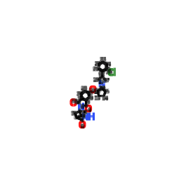 O=C1NC(=O)C2(N3Cc4cc(O[C@H]5CCC[C@@H]5N5CC(c6ccccc6Cl)C5)ccc4C3=O)CC1C2